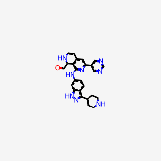 O=CC1NC=Cc2cc(-c3cncnc3)nc(Nc3ccc4c(C5=CCNCC5)n[nH]c4c3)c21